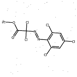 CC(C)OC(=O)C(Cl)(Cl)N=Nc1c(Cl)cc(Cl)cc1Cl